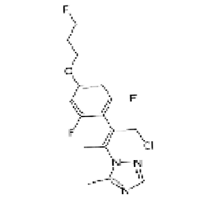 C/C(=C(/CCl)c1c(F)cc(OCCCF)cc1F)n1ncnc1C